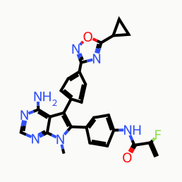 C=C(F)C(=O)Nc1ccc(-c2c(-c3ccc(-c4noc(C5CC5)n4)cc3)c3c(N)ncnc3n2C)cc1